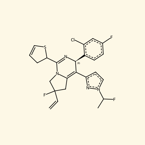 C=CC1(F)CC2=C(c3ccn(C(C)F)n3)[C@H](c3ccc(F)cc3Cl)N=C(C3CC=CS3)N2C1